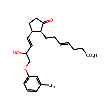 O=C(O)CCC=CCC[C@@H]1C(=O)CC[C@@H]1/C=C/C(O)COc1cccc(C(F)(F)F)c1